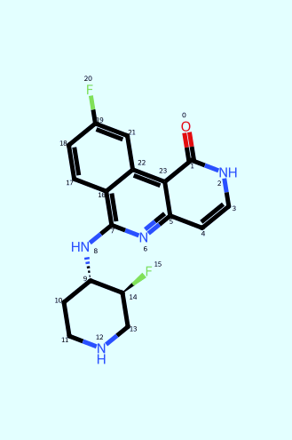 O=c1[nH]ccc2nc(N[C@H]3CCNC[C@@H]3F)c3ccc(F)cc3c12